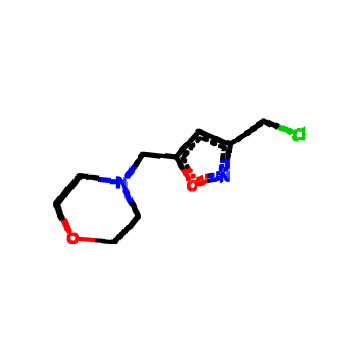 ClCc1cc(CN2CCOCC2)on1